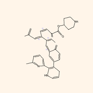 C=C(C)/C=C(\C=C/C(=C)C(=O)OC1CCNCC1)C(/C=c1/cc(C2=C(c3cccc(C)n3)NC=CC2)ccc1=C)=C/C